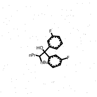 CCCCC(CCC)C(O)(c1cccc(F)c1)c1cccc(F)c1